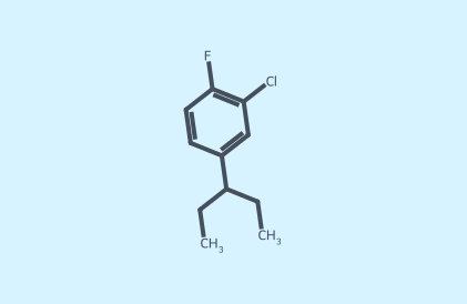 CCC(CC)c1ccc(F)c(Cl)c1